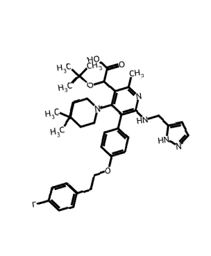 Cc1nc(NCc2ccn[nH]2)c(-c2ccc(OCCc3ccc(F)cc3)cc2)c(N2CCC(C)(C)CC2)c1C(OC(C)(C)C)C(=O)O